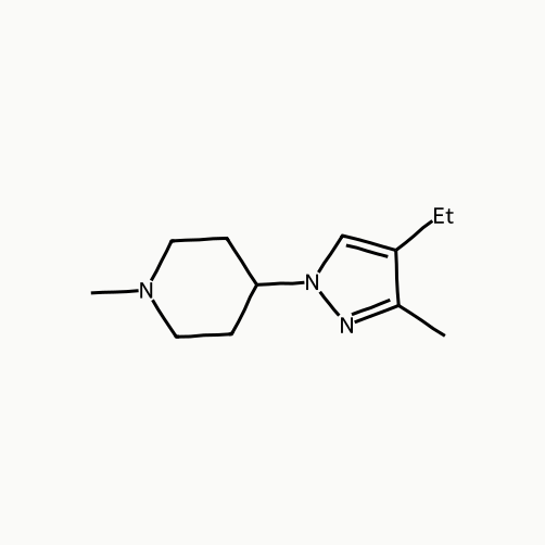 CCc1cn(C2CCN(C)CC2)nc1C